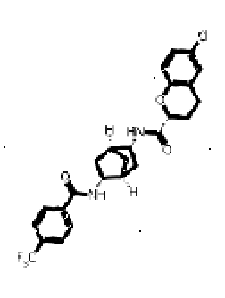 O=C(N[C@@H]1C[C@@H]2C[C@H]1C[C@H]2NC(=O)[C@H]1CCc2cc(Cl)ccc2O1)c1ccc(C(F)(F)F)cc1